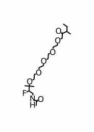 CCC(C)C(=O)COCCOCCOCCOCCOC(C)(C)C(F)CNC(C)=O